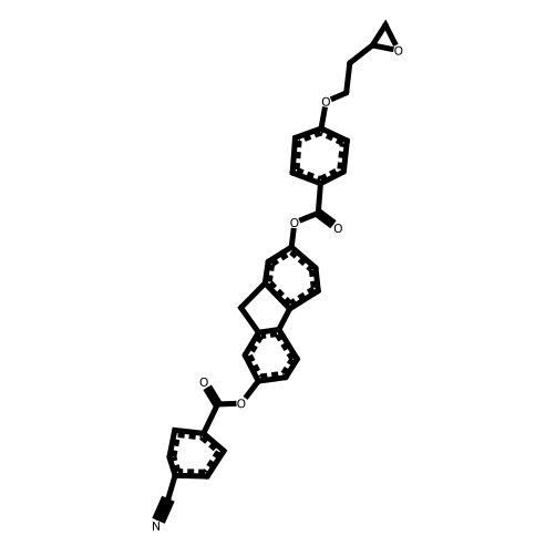 N#Cc1ccc(C(=O)Oc2ccc3c(c2)Cc2cc(OC(=O)c4ccc(OCCC5CO5)cc4)ccc2-3)cc1